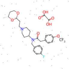 C[C@@H]1CCOC(CCN2CCC(N(Cc3ccc(F)cc3)C(=O)Cc3ccc(OC(F)(F)F)cc3)CC2)O1.O=C(O)C(=O)O